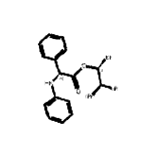 CCCC(CCC)[C@H](CC)OC(=O)[C@@H](Nc1ccccc1)c1ccccc1